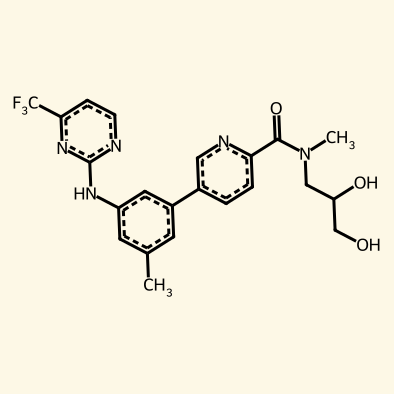 Cc1cc(Nc2nccc(C(F)(F)F)n2)cc(-c2ccc(C(=O)N(C)CC(O)CO)nc2)c1